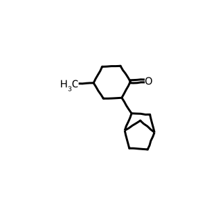 CC1CCC(=O)C(C2CC3CCC2C3)C1